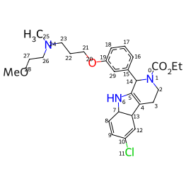 CCOC(=O)N1CCC2=C(NC3C=CC(Cl)=CC23)C1c1cccc(OCCCN(C)CCOC)c1